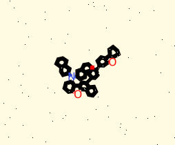 c1ccc2cc(N(c3ccc4ccccc4c3)c3cccc4oc5c6ccccc6c(-c6ccc(-c7ccc8c(c7)oc7ccccc78)cc6)cc5c34)ccc2c1